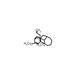 C=CCNC1C2CCCC[C@]1(C)c1cc(OC)ccc1C2